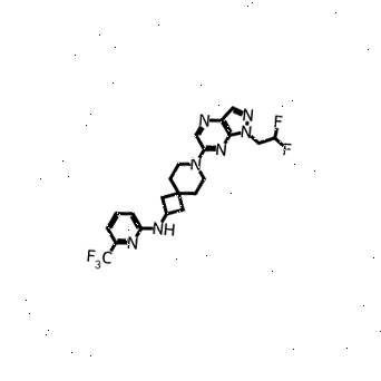 FC(F)Cn1ncc2ncc(N3CCC4(CC3)CC(Nc3cccc(C(F)(F)F)n3)C4)nc21